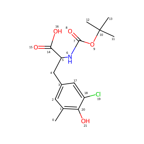 Cc1cc(CC(NC(=O)OC(C)(C)C)C(=O)O)cc(Cl)c1O